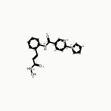 O=C(/C=C/c1ccccc1NC(=O)c1ccc(-n2cccc2)nc1)NO